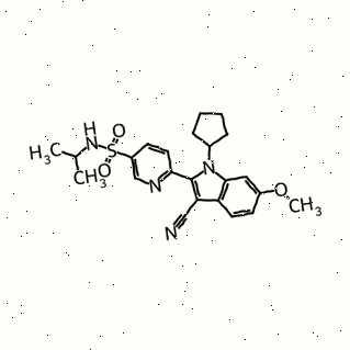 COc1ccc2c(C#N)c(-c3ccc(S(=O)(=O)NC(C)C)cn3)n(C3CCCC3)c2c1